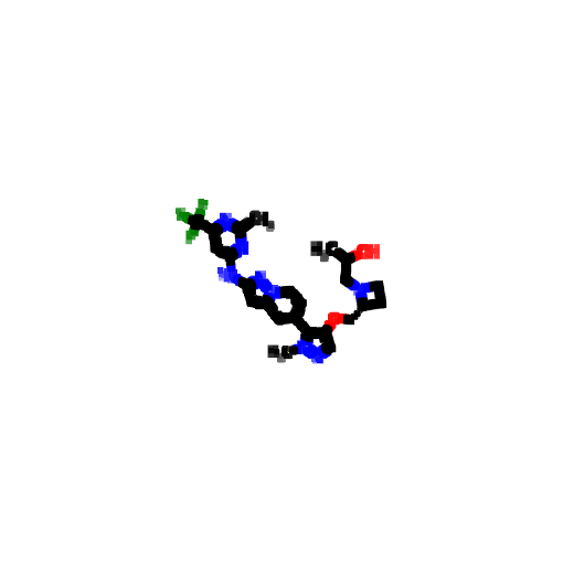 Cc1nc(Nc2cc3cc(-c4c(OC[C@H]5CCN5CC(C)O)cnn4C)ccn3n2)cc(C(F)(F)F)n1